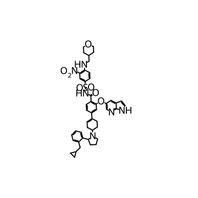 O=C(NS(=O)(=O)c1ccc(NCC2CCOCC2)c([N+](=O)[O-])c1)c1ccc(C2=CCC(N3CCCC3c3ccccc3CC3CC3)CC2)cc1Oc1cnc2[nH]ccc2c1